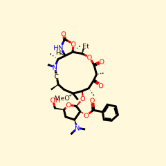 CC[C@H]1OC(=O)[C@H](C)C(=O)[C@H](C)[C@@H](O[C@@H]2O[C@H](CO)C[C@H](N(C)C)[C@H]2OC(=O)c2ccccc2)[C@](C)(OC)C[C@@H](C)CN(C)[C@H](C)[C@H]2NC(=O)O[C@]21C